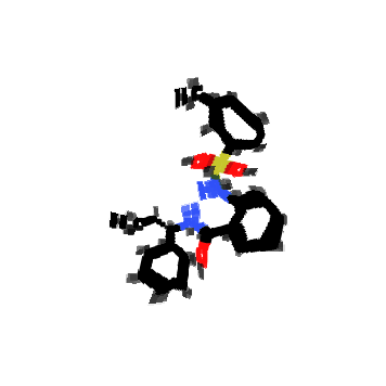 CC[C@H](NC(=O)c1ccccc1NS(=O)(=O)c1cccc(C)c1)c1ccccc1